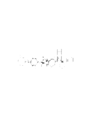 CC(C)C(=O)Nc1ccc2oc(-c3ccc(C4CCCCC4)cc3)nc2c1